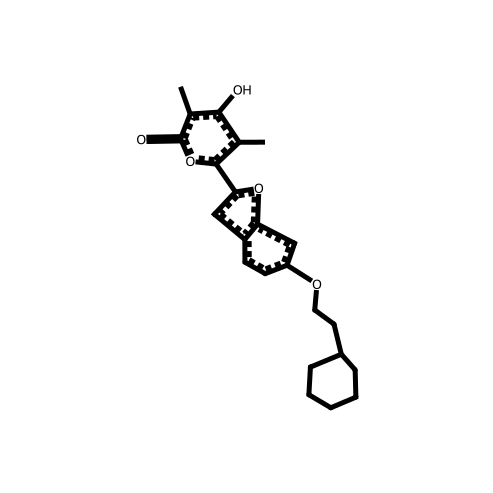 Cc1c(-c2cc3ccc(OCCC4CCCCC4)cc3o2)oc(=O)c(C)c1O